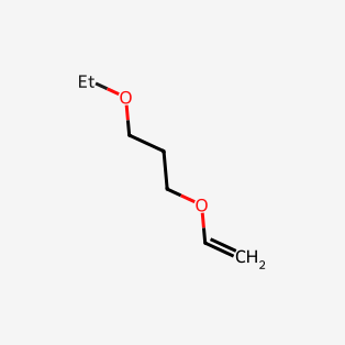 [CH2]COCCCOC=C